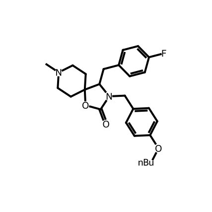 CCCCOc1ccc(CN2C(=O)OC3(CCN(C)CC3)C2Cc2ccc(F)cc2)cc1